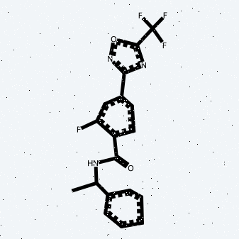 CC(NC(=O)c1ccc(-c2noc(C(F)(F)F)n2)cc1F)c1ccccc1